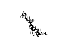 CC(C)C(=C/N)/C=C(\N)Nc1ccc2ncc(/C(C=N)=C/NCCCN3CCN(C)CC3=O)cc2n1